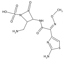 CO/N=C(\C(=O)NC1C(=O)N(S(=O)(=O)O)C1CN)c1csc(N)n1